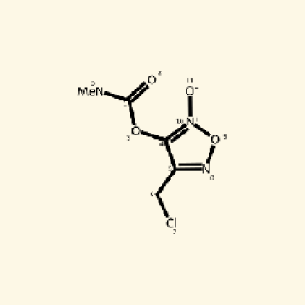 CNC(=O)Oc1c(CCl)no[n+]1[O-]